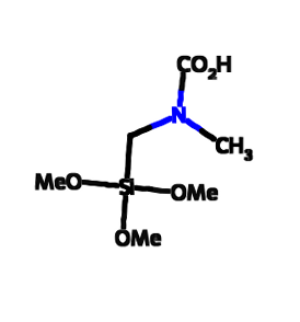 CO[Si](CN(C)C(=O)O)(OC)OC